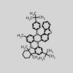 Cc1cc2c3c(c1)N1c4c(cc(C(C)(C)C)cc4C4(C)CCCCC14C)B3c1ccc3sc4ccccc4c3c1N2c1ccc(C(C)(C)C)cc1